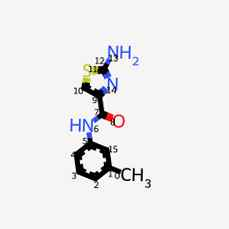 Cc1cccc(NC(=O)c2csc(N)n2)c1